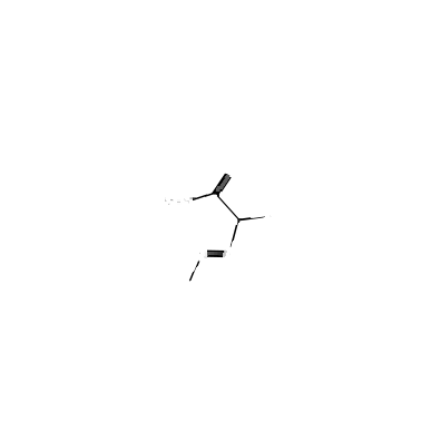 CN=NC(C(C)=O)C(=O)NC